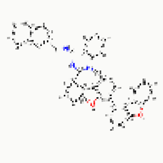 C=N/C(=N\C(=N/Cc1ccc2ccccc2c1)c1ccccc1)c1cccc2oc3c(-c4cccc5oc6ccccc6c45)cccc3c12